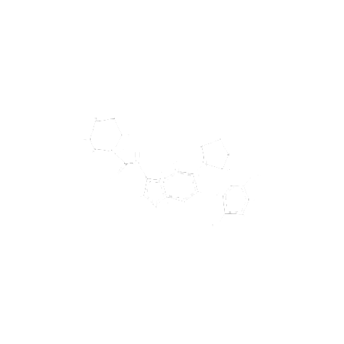 O=C(Nc1cnc2ccc(N3CCC[C@@H]3c3cc(F)ccc3F)nn12)N1CCCCC1